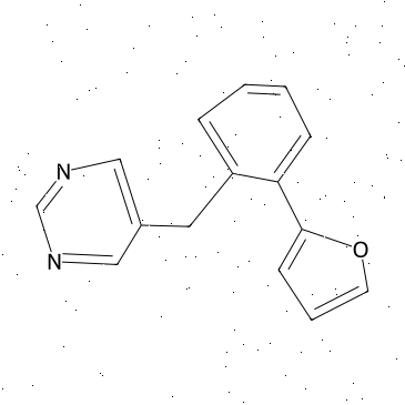 c1coc(-c2ccccc2Cc2cncnc2)c1